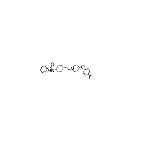 O=C(NC1CCC(CCN2CCC(Oc3ccc(F)cc3)CC2)CC1)c1ccccc1